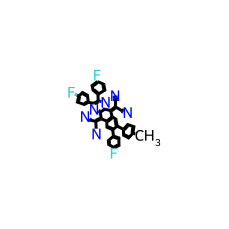 Cc1ccc(-c2cc3c(=C(C#N)C#N)c4nc(-c5ccc(F)cc5)c(-c5ccc(F)cc5)nc4c(=C(C#N)C#N)c3cc2-c2ccc(F)cc2)cc1